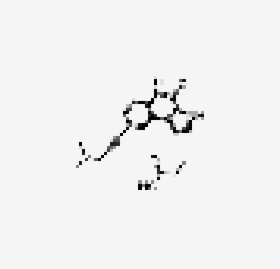 CCC(=O)O.CN(C)CC#Cc1ccc2[nH]c(=O)c3[nH]ccc3c2c1